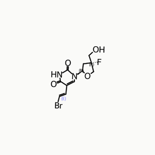 O=c1[nH]c(=O)n([C@H]2C[C@@](F)(CO)CO2)cc1/C=C/Br